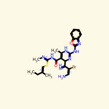 CC/C(C)=C/S/C(=N\C)NC(=O)C1=C(C)NC(Nc2nc3ccccc3o2)=NC1C(=N)/C(Br)=C\N